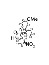 COc1ccc(N/C(=C2\C(=O)Nc3ccc([N+](=O)[O-])cc32)c2ccccc2)cc1